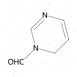 O=CN1C=NC=CC1